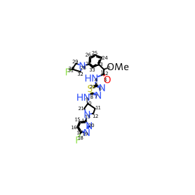 COC(C(=O)Nc1nnc(N[C@@H]2CCN(c3ccc(F)nn3)C2)s1)c1cccc(N2CC(F)C2)c1